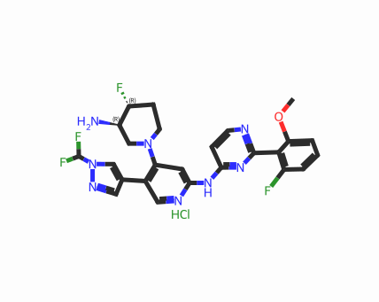 COc1cccc(F)c1-c1nccc(Nc2cc(N3CC[C@@H](F)[C@H](N)C3)c(-c3cnn(C(F)F)c3)cn2)n1.Cl